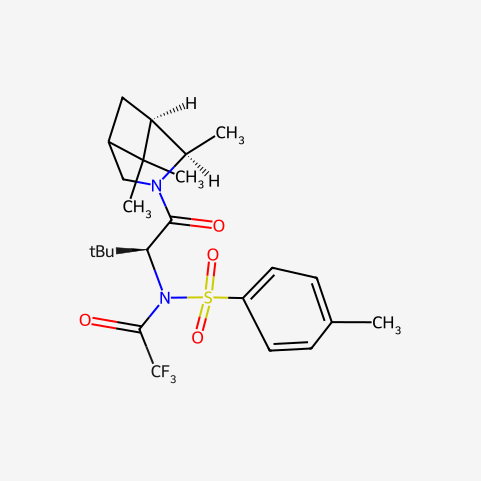 Cc1ccc(S(=O)(=O)N(C(=O)C(F)(F)F)[C@H](C(=O)N2CC3C[C@@H]([C@H]2C)C3(C)C)C(C)(C)C)cc1